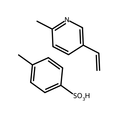 C=Cc1ccc(C)nc1.Cc1ccc(S(=O)(=O)O)cc1